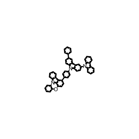 c1ccc(-c2ccc3c(c2)c2cc(-n4c5ccccc5c5ccccc54)ccc2n3-c2ccc(-c3ccc4c5c3c3ccccc3n5-c3ccccc3O4)cc2)cc1